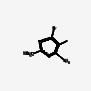 Cc1c(N)cc(C(=O)O)cc1[S]